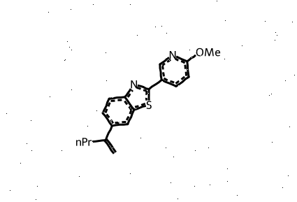 C=C(CCC)c1ccc2nc(-c3ccc(OC)nc3)sc2c1